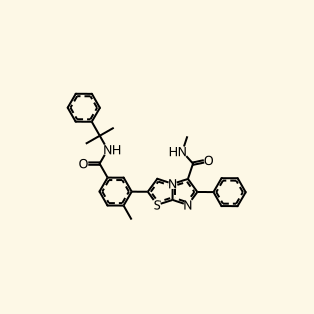 CNC(=O)c1c(-c2ccccc2)nc2sc(-c3cc(C(=O)NC(C)(C)c4ccccc4)ccc3C)cn12